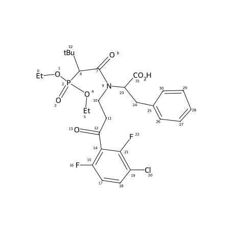 CCOP(=O)(OCC)C(C(=O)N(CCC(=O)c1c(F)ccc(Cl)c1F)C(Cc1ccccc1)C(=O)O)C(C)(C)C